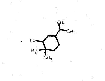 CC(C)C1CCC(C)(C)C(O)C1